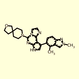 Cc1c(-c2c[nH]c3nc(N4CCC5(CCOC5)CC4)n4ccnc4c23)ccc2nn(C)cc12